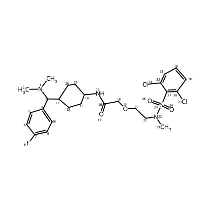 CN(C)C(c1ccc(F)cc1)C1CCC(NC(=O)COCCN(C)S(=O)(=O)c2c(Cl)cccc2Cl)CC1